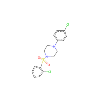 O=S(=O)(c1ccccc1Cl)N1CCN(c2ccc(Cl)cc2)CC1